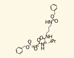 CC(C)C[C@H](NC(=O)[C@H]1O[C@@H]1C(=O)OCc1ccccc1)C(=O)NCCCCNC(=O)OCc1ccccc1